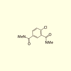 CNC(=O)c1ccc(Cl)c(C(=O)NC)c1